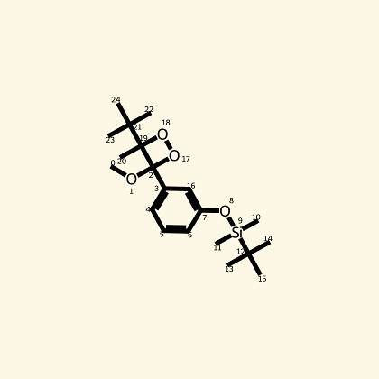 COC1(c2cccc(O[Si](C)(C)C(C)(C)C)c2)OOC1(C)C(C)(C)C